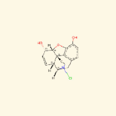 Oc1ccc2c3c1O[C@H]1[C@@H](O)C=C[C@H]4[C@@H](C2)N(Cl)CC[C@@]341